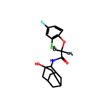 CC(C)(Oc1ccc(F)cc1Cl)C(=O)NC1C2CC3CC(C2)CC1(O)C3